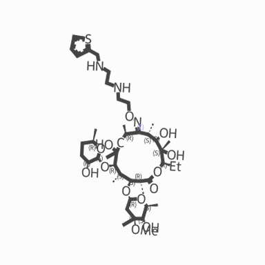 CC[C@H]1OC(=O)[C@H](C)[C@@H](O[C@H]2C[C@@](C)(OC)[C@@H](O)[C@H](C)O2)[C@H](C)[C@@H](O[C@@H]2O[C@H](C)CC[C@H]2O)C(C)(O)C[C@@H](C)/C(=N\OCCNCCNCc2cccs2)[C@H](C)[C@@H](O)[C@]1(C)O